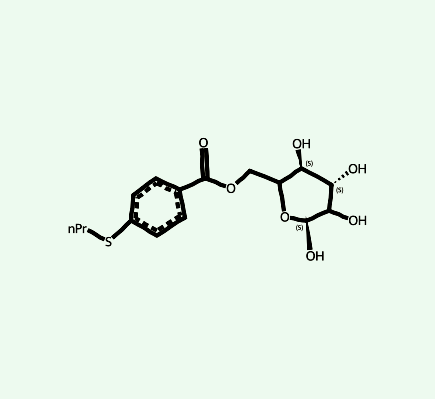 CCCSc1ccc(C(=O)OCC2O[C@H](O)C(O)[C@@H](O)[C@@H]2O)cc1